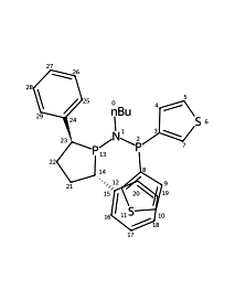 CCCCN(P(c1ccsc1)c1ccsc1)P1[C@H](c2ccccc2)CC[C@H]1c1ccccc1